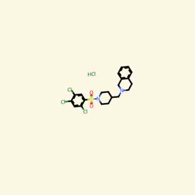 Cl.O=S(=O)(c1cc(Cl)c(Cl)cc1Cl)N1CCC(CN2CCc3ccccc3C2)CC1